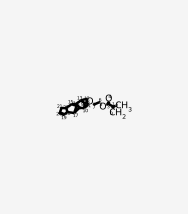 C=C(C)C(=O)OCCOC1C2CCC1C1C3CC(C4C=CCC43)C21